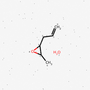 C=CCC1OC1C.O